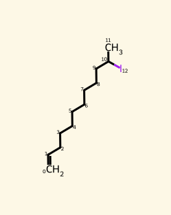 C=CCCCCCCCCC(C)I